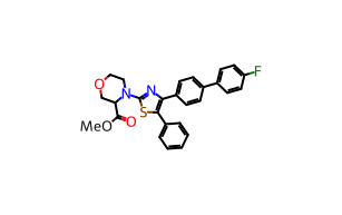 COC(=O)C1COCCN1c1nc(-c2ccc(-c3ccc(F)cc3)cc2)c(-c2ccccc2)s1